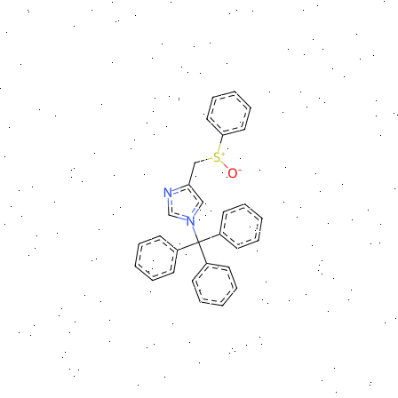 [O-][S+](Cc1cn(C(c2ccccc2)(c2ccccc2)c2ccccc2)cn1)c1ccccc1